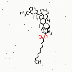 CCCCCCCCCC(=O)O[C@H]1CC[C@@]2(C)C(=CCC3[C@@H]4CC[C@H]([C@H](C)CCCC(C)C)[C@@]4(C)CC[C@@H]32)C1